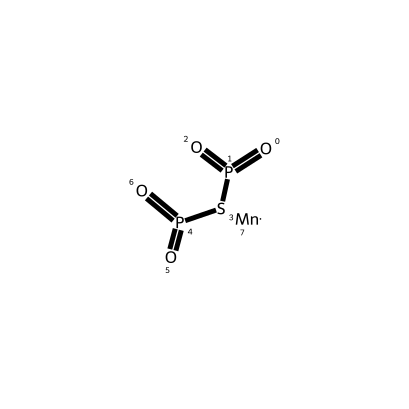 O=P(=O)SP(=O)=O.[Mn]